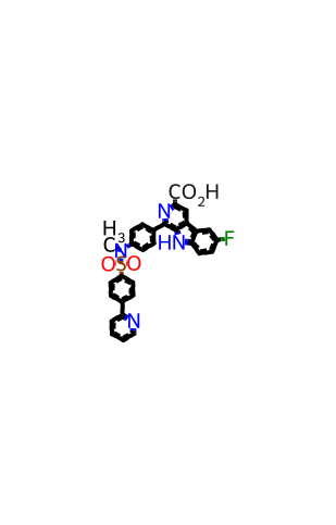 CN(c1ccc(-c2nc(C(=O)O)cc3c2[nH]c2ccc(F)cc23)cc1)S(=O)(=O)c1ccc(-c2ccccn2)cc1